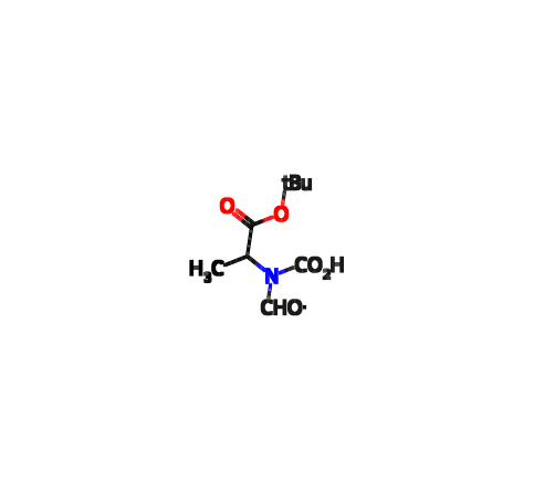 CC(C(=O)OC(C)(C)C)N([C]=O)C(=O)O